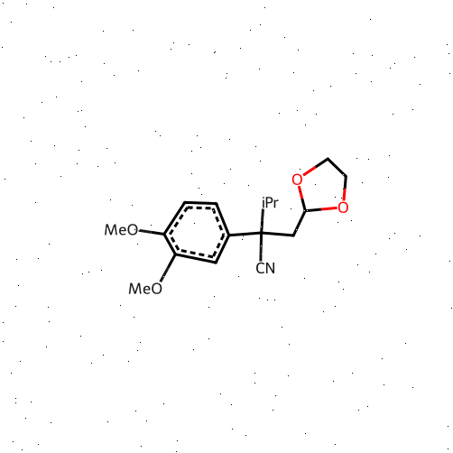 COc1ccc(C(C#N)(CC2OCCO2)C(C)C)cc1OC